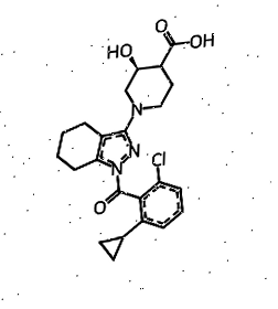 O=C(O)C1CCN(c2nn(C(=O)c3c(Cl)cccc3C3CC3)c3c2CCCC3)C[C@H]1O